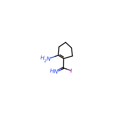 N=C(I)C1=C(N)CCCC1